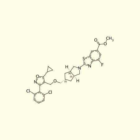 COC(=O)c1cc(F)c2nc(N3C[C@H]4C[C@H](COCc5c(-c6c(Cl)cccc6Cl)noc5C5CC5)C[C@H]4C3)sc2c1